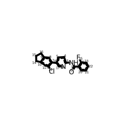 O=C(Nc1ccc(-c2cc3c(cc2Cl)CCC3)cn1)c1ccccc1F